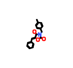 Cc1ccc(CN2C(=O)O/C(=C\c3ccccc3)C2=O)cc1